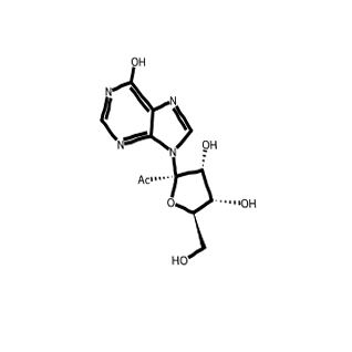 CC(=O)[C@@]1(n2cnc3c(O)ncnc32)O[C@H](CO)[C@@H](O)[C@H]1O